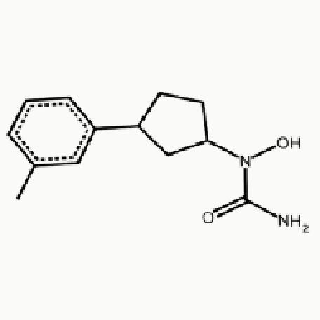 Cc1cccc(C2CCC(N(O)C(N)=O)C2)c1